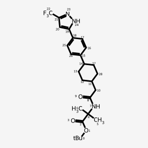 CC(C)(C)OC(=O)C(C)(C)NC(=O)CC1CCC(c2ccc(-c3cc(C(F)(F)F)n[nH]3)cc2)CC1